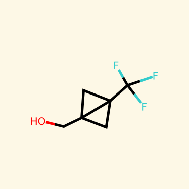 OCC12CC1(C(F)(F)F)C2